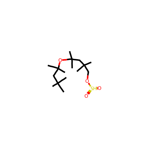 CC(C)(C)CC(C)(C)OC(C)(C)CC(C)(C)CO[SH](=O)=O